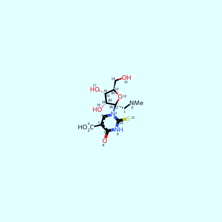 CNC[C@@]1(n2cc(C(=O)O)c(=O)[nH]c2=S)O[C@H](CO)[C@@H](O)[C@H]1O